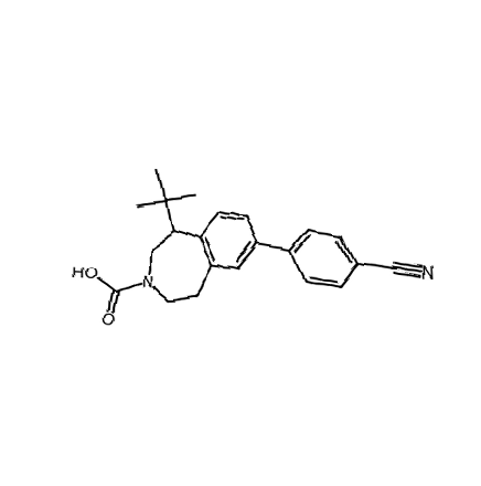 CC(C)(C)C1CN(C(=O)O)CCc2cc(-c3ccc(C#N)cc3)ccc21